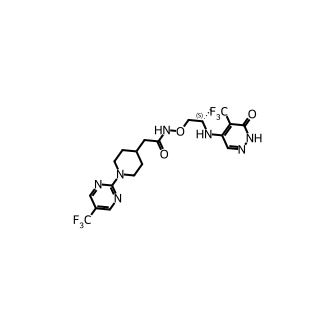 C[C@@H](CONC(=O)CC1CCN(c2ncc(C(F)(F)F)cn2)CC1)Nc1cn[nH]c(=O)c1C(F)(F)F